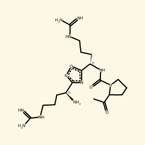 CC(=O)C1CCCN1C(=O)N[C@@H](CCCNC(=N)N)c1nc([C@@H](N)CCCNC(=N)N)no1